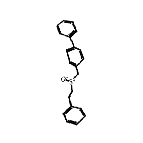 [O-][S+](CCc1ccccc1)Cc1ccc(-c2ccccc2)cc1